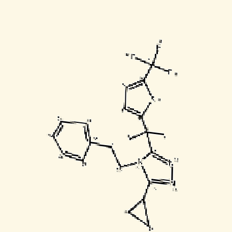 CC(C)(c1ccc(C(F)(F)F)s1)c1nnc(C2CC2)n1CCc1ccccc1